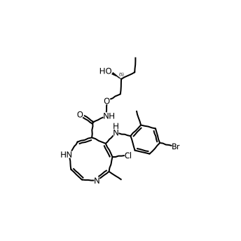 CC[C@H](O)CONC(=O)c1c[nH]ccnc(C)c(Cl)c1Nc1ccc(Br)cc1C